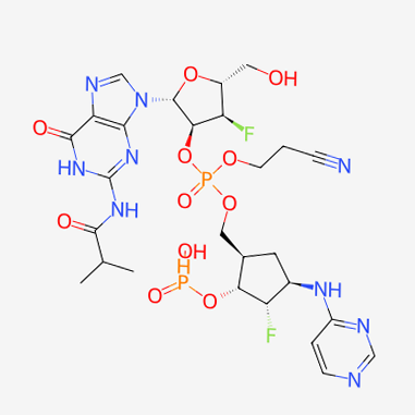 CC(C)C(=O)Nc1nc2c(ncn2[C@@H]2O[C@H](CO)[C@@H](F)[C@H]2OP(=O)(OCCC#N)OC[C@H]2C[C@@H](Nc3ccncn3)[C@H](F)[C@@H]2O[PH](=O)O)c(=O)[nH]1